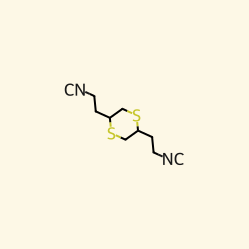 [C-]#[N+]CCC1CSC(CC[N+]#[C-])CS1